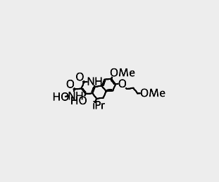 COCCCOc1cc2c(cc1OC)-c1[nH]c(=O)c(C(=O)NO)c(O)c1C(C(C)C)C2